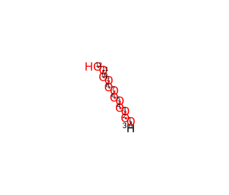 [3H]OOOOOOOOOOOO